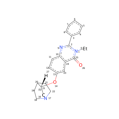 CCn1c(-c2ccccc2)nc2ccc(O[C@@H]3CN4CCC3CC4)cc2c1=O